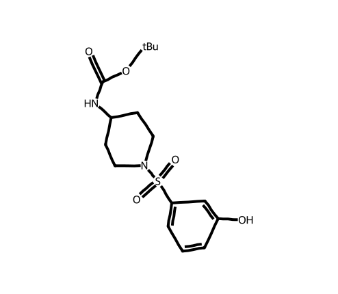 CC(C)(C)OC(=O)NC1CCN(S(=O)(=O)c2cccc(O)c2)CC1